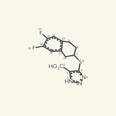 O=C(O)c1[nH]nnc1SC1CCc2cc(F)c(F)cc2C1